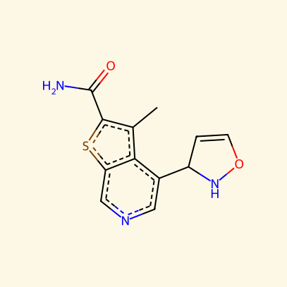 Cc1c(C(N)=O)sc2cncc(C3C=CON3)c12